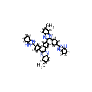 Cc1ccc2nc(-c3ccc(-c4nc5ccc(C)cc5nc4-c4ccc(-c5nc6ccccc6[nH]5)cc4)cc3)c(-c3ccc(-c4nc5ccccc5[nH]4)cc3)nc2c1